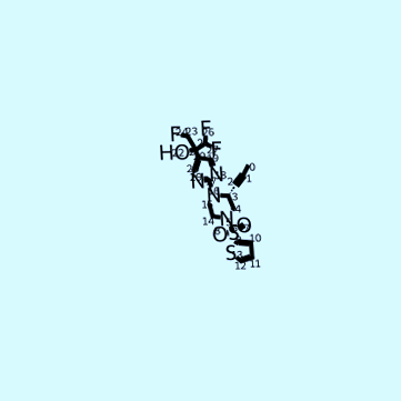 CC#C[C@@H]1CN(S(=O)(=O)c2cccs2)CCN1c1ncc(C(O)(CF)C(F)F)cn1